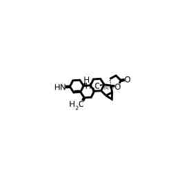 C=C1CC2C(CC[C@@]3(C)C2C2CC2[C@@]32CCC(=O)O2)[C@H]2CCC(=N)C=C12